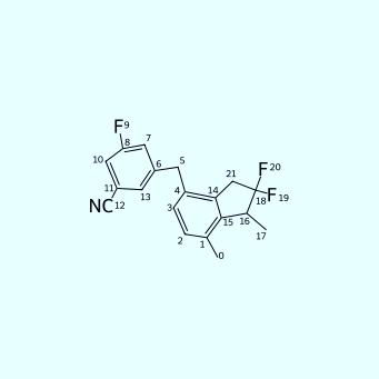 Cc1ccc(Cc2cc(F)cc(C#N)c2)c2c1C(C)C(F)(F)C2